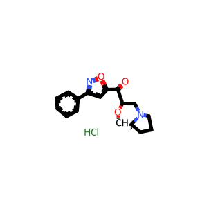 COC(CN1CCCC1)C(=O)c1cc(-c2ccccc2)no1.Cl